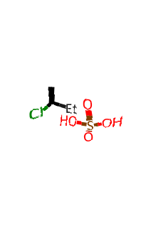 C=C(Cl)CC.O=S(=O)(O)O